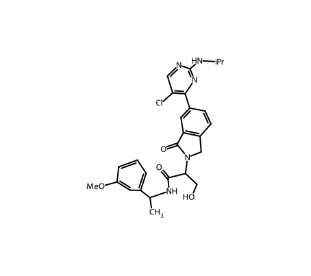 COc1cccc(C(C)NC(=O)C(CO)N2Cc3ccc(-c4nc(NC(C)C)ncc4Cl)cc3C2=O)c1